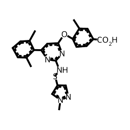 Cc1cc(C(=O)O)ccc1Oc1cc(-c2c(C)cccc2C)nc(NSc2cnn(C)c2)n1